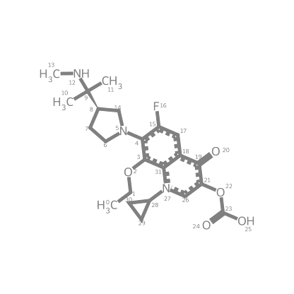 CCOc1c(N2CC[C@@H](C(C)(C)NC)C2)c(F)cc2c(=O)c(OC(=O)O)cn(C3CC3)c12